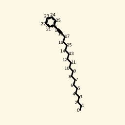 CCCCCCCCCCCCCCCCCCC#Cc1[c]cccc1